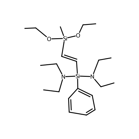 CCO[Si](C)(C=C[Si](c1ccccc1)(N(CC)CC)N(CC)CC)OCC